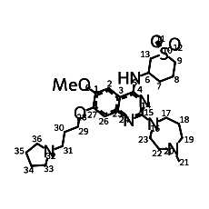 COc1cc2c(NC3CCCS(=O)(=O)C3)nc(N3CCCN(C)CC3)nc2cc1OCCCN1CCCC1